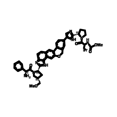 COC[C@H]1C[C@@H](c2nc3ccc4cc5c(cc4c3[nH]2)OCc2cc(-c3cnc([C@@H]4CCCN4C(=O)C(NC(=O)OC)C(C)C)[nH]3)ccc2-5)N(C(=O)[C@H](N)c2ccccc2)C1